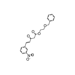 O=C(C=Cc1cccc([N+](=O)[O-])c1)CC(=O)OCCOCc1ccccc1